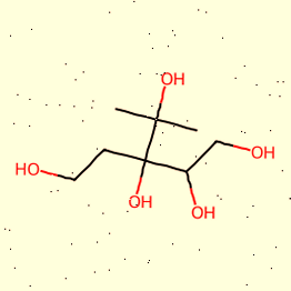 CC(C)(O)C(O)(CCO)C(O)CO